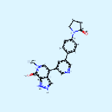 Cn1cc(-c2cncc(-c3ccc(N4CCCC4=O)cc3)c2)c2cn[nH]c2c1=O